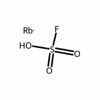 O=S(=O)(O)F.[Rb]